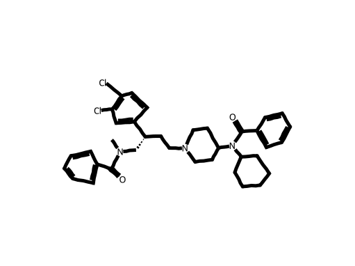 CN(C[C@@H](CCN1CCC(N(C(=O)c2ccccc2)C2CCCCC2)CC1)c1ccc(Cl)c(Cl)c1)C(=O)c1ccccc1